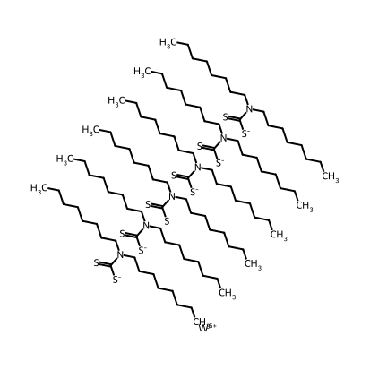 CCCCCCCCN(CCCCCCCC)C(=S)[S-].CCCCCCCCN(CCCCCCCC)C(=S)[S-].CCCCCCCCN(CCCCCCCC)C(=S)[S-].CCCCCCCCN(CCCCCCCC)C(=S)[S-].CCCCCCCCN(CCCCCCCC)C(=S)[S-].CCCCCCCCN(CCCCCCCC)C(=S)[S-].[W+6]